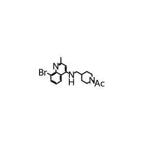 CC(=O)N1CCC(CNc2cc(C)nc3c(Br)cccc23)CC1